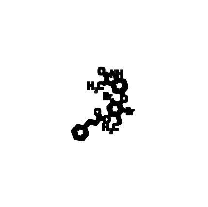 CCc1c(OC(=O)C=Cc2ccccc2)cc(Br)c(Oc2ccc3c(c2)C(C)C(=O)N3)c1Br